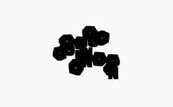 c1ccc(-c2nc(-c3ccc(-c4cccc5cnccc45)cc3)nc(-c3cc(-c4cccc5c4oc4ccccc45)cc(-c4cccc5c4oc4ccccc45)c3)n2)cc1